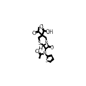 CC(=O)N(c1cccs1)C1C(=O)N2CC(C(C)=O)(C(=O)O)CS[C@H]12